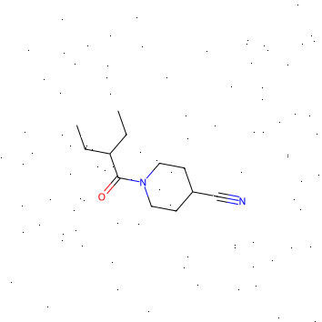 CCC(CC)C(=O)N1CCC(C#N)CC1